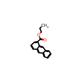 CCCOC(=O)c1cccc2cc3ccccc3cc12